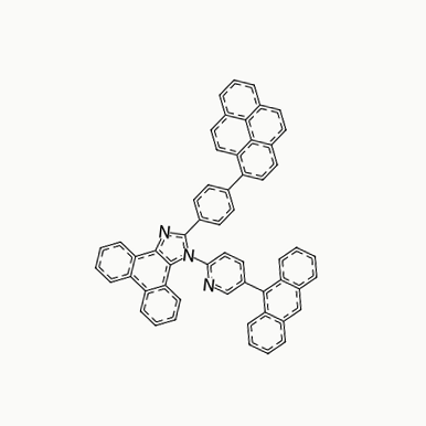 c1ccc2c(-c3ccc(-n4c(-c5ccc(-c6ccc7ccc8cccc9ccc6c7c89)cc5)nc5c6ccccc6c6ccccc6c54)nc3)c3ccccc3cc2c1